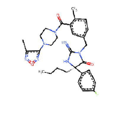 Cc1nonc1N1CCN(C(=O)c2cc(CN3C(=N)N[C@](CCCC(F)(F)F)(c4ccc(F)cc4)C3=O)ccc2C(F)(F)F)CC1